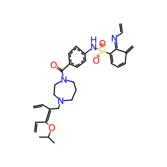 C=C/N=C1\C(=C)C=CC=C1S(=O)(=O)Nc1ccc(C(=O)N2CCCN(C/C(C=C)=C(/C=C)OC(C)C)CC2)cc1